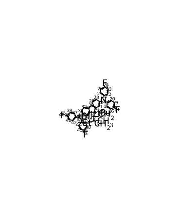 C=C(C)C(C(=C)CC)(C(C)(C)C)C1(C(C)(C)C)c2cc(N(c3ccc(F)cc3)c3ccc(F)cc3)ccc2-c2ccc(N(c3ccc(F)cc3)c3ccc(F)cc3)cc21